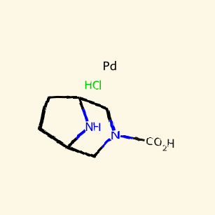 Cl.O=C(O)N1CC2CCC(C1)N2.[Pd]